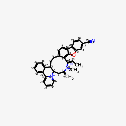 C=C1CC2C(CCc3ccc4c(oc5cc(C#N)ccc54)c3/C(=C/C)N1C)c1ccccc1-c1cccc[n+]12